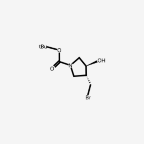 CC(C)(C)OC(=O)N1C[C@@H](CBr)[C@H](O)C1